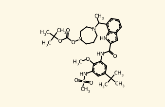 COc1c(NC(=O)c2cc3cccc(C(C)N4CCCN(OC(=O)OC(C)(C)C)CC4)c3[nH]2)cc(C(C)(C)C)cc1NS(C)(=O)=O